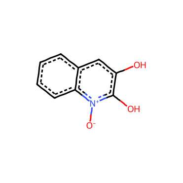 [O-][n+]1c(O)c(O)cc2ccccc21